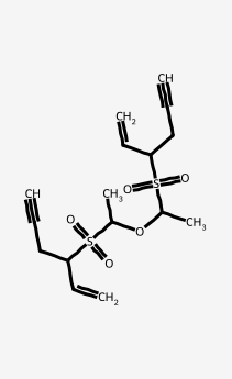 C#CCC(C=C)S(=O)(=O)C(C)OC(C)S(=O)(=O)C(C=C)CC#C